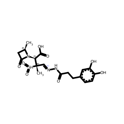 C[C@@H]1CC(=O)N1[C@@H](C(=O)O)[C@](C)(/C=N/NC(=O)CCc1ccc(O)c(O)c1)[SH](=O)=O